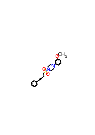 COc1cccc(N2CCN(S(=O)(=O)CCC#Cc3ccccc3)CC2)c1